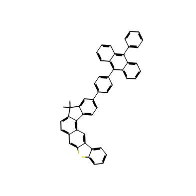 CC1(C)c2cc(-c3ccc(-c4c5ccccc5c(-c5ccccc5)c5ccccc45)cc3)ccc2-c2c1ccc1cc3sc4ccccc4c3cc21